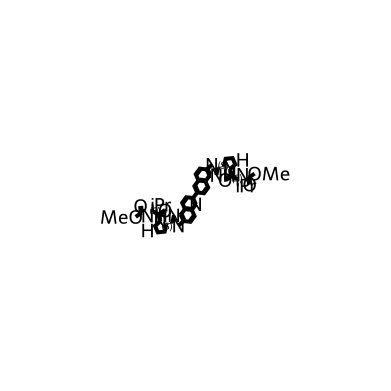 COC(=O)N[C@H](C(=O)N1CCC[C@H]1c1nc2ccc3cc(-c4ccc5c(ccc6nc([C@@H]7CCCN7C(=O)[C@@H](NC(=O)OC)C(C)C)[nH]c65)n4)ccc3c2[nH]1)C(C)C